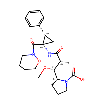 CO[C@H]([C@@H](C)C(=O)N[C@@]1(C(=O)N2CCCCO2)C[C@H]1c1ccccc1)[C@@H]1CCCN1C(=O)O